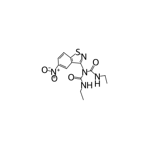 CCNC(=O)N(C(=O)NCC)c1nsc2ccc([N+](=O)[O-])cc12